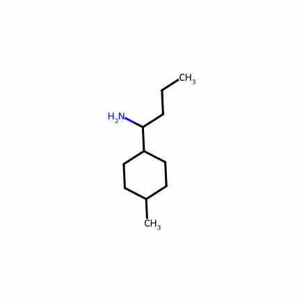 CCCC(N)C1CCC(C)CC1